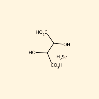 O=C(O)C(O)C(O)C(=O)O.[SeH2]